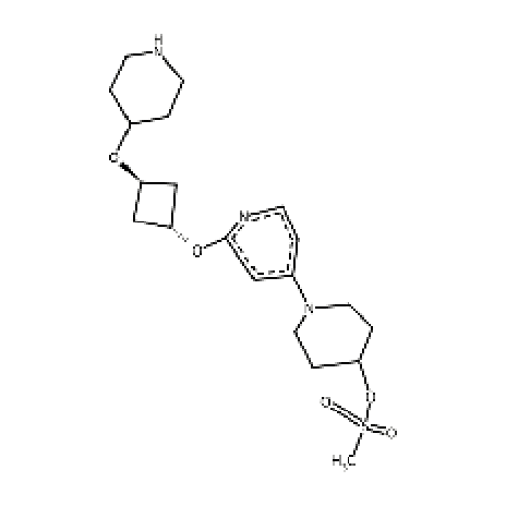 CS(=O)(=O)OC1CCN(c2ccnc(O[C@H]3C[C@H](OC4CCNCC4)C3)c2)CC1